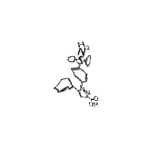 NS(=O)(=O)c1ccc(-n2nc(C(=O)O)cc2C2=CCCC=C2)cc1